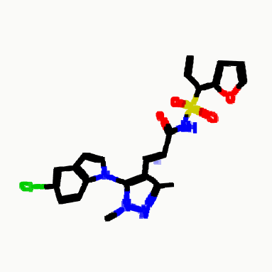 C=CC(c1ccco1)S(=O)(=O)NC(=O)/C=C/c1c(C)nn(C)c1-n1ccc2cc(Cl)ccc21